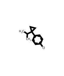 CC(C)C1(c2ccc(Cl)cc2)CC1